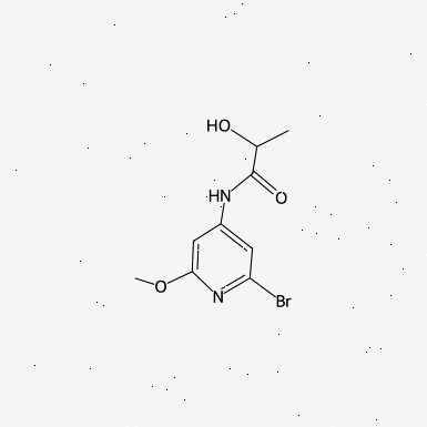 COc1cc(NC(=O)C(C)O)cc(Br)n1